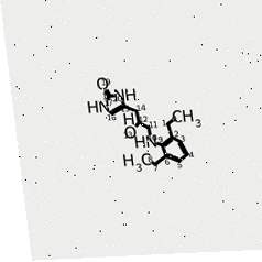 CCc1cccc(CC)c1NCC(O)Cc1c[nH]c(=O)[nH]1